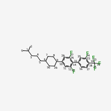 CC(C)CCCC1CCC(c2cc(F)c(-c3ccc(C(F)(F)F)c(F)c3)c(F)c2)CC1